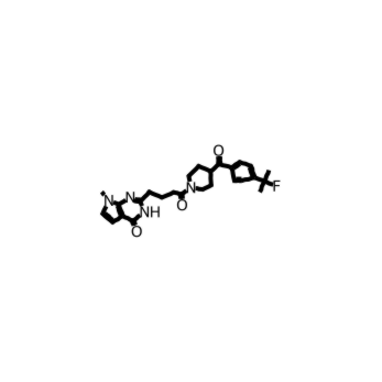 Cn1ccc2c(=O)[nH]c(CCCC(=O)N3CCC(C(=O)c4ccc(C(C)(C)F)cc4)CC3)nc21